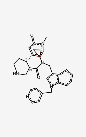 Cn1ccc([C@H]2CCNC[C@@H]2C(=O)N(Cc2cn(Cc3ccncc3)c3ccccc23)C2CC2)cc1=O